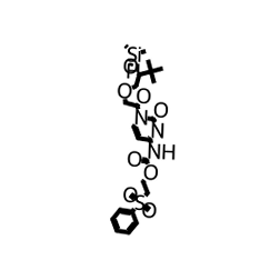 C[SiH](C)OC(C1OCC(n2ccc(NC(=O)OCCS(=O)(=O)c3ccccc3)nc2=O)O1)C(C)(C)C